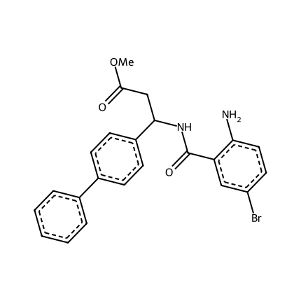 COC(=O)CC(NC(=O)c1cc(Br)ccc1N)c1ccc(-c2ccccc2)cc1